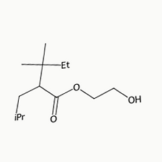 CCC(C)(C)C(CC(C)C)C(=O)OCCO